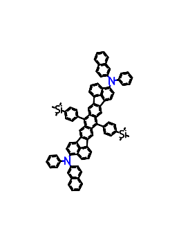 C[Si](C)(C)c1ccc(-c2c3cc4c(cc3c(-c3ccc([Si](C)(C)C)cc3)c3cc5c(cc23)-c2ccc(N(c3ccccc3)c3ccc6ccccc6c3)c3cccc-5c23)-c2ccc(N(c3ccccc3)c3ccc5ccccc5c3)c3cccc-4c23)cc1